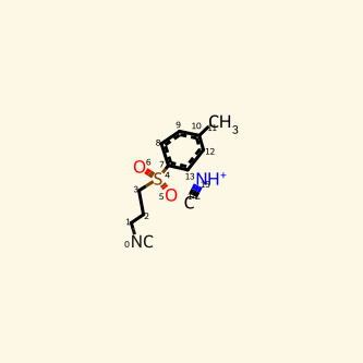 [C-]#[N+]CCCS(=O)(=O)c1ccc(C)cc1.[C-]#[NH+]